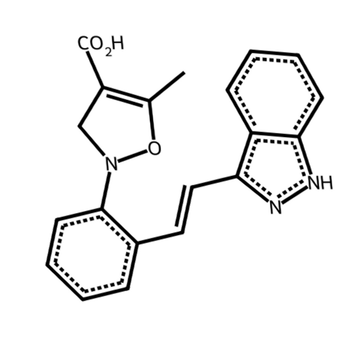 CC1=C(C(=O)O)CN(c2ccccc2C=Cc2n[nH]c3ccccc23)O1